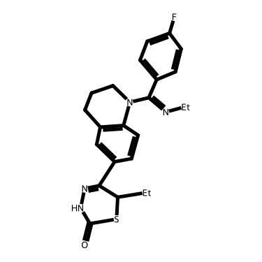 CCN=C(c1ccc(F)cc1)N1CCCc2cc(C3=NNC(=O)SC3CC)ccc21